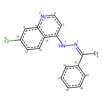 CCC(=NNc1ccnc2cc(Cl)ccc12)c1ccccc1